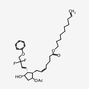 C=CCCCCCCCCOC(=O)CCC/C=C\C[C@@H]1[C@@H](/C=C/C(F)(F)COc2ccccc2)[C@H](O)C[C@@H]1OC(C)=O